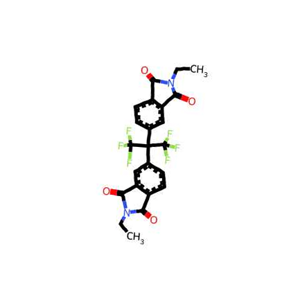 CCN1C(=O)c2ccc(C(c3ccc4c(c3)C(=O)N(CC)C4=O)(C(F)(F)F)C(F)(F)F)cc2C1=O